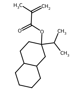 C=C(C)C(=O)OC1(C(C)C)CCC2CCCCC2C1